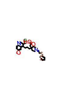 COc1ccc2ncc(CF)c(CCCC3(CC(=O)O)CCN(CCSc4cccs4)CC3)c2c1